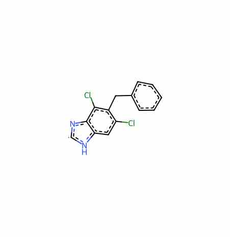 Clc1cc2[nH][c]nc2c(Cl)c1Cc1ccccc1